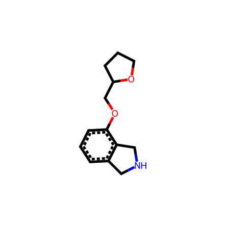 c1cc2c(c(OCC3CCCO3)c1)CNC2